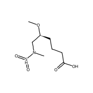 CO[C@@H](CCCC(=O)O)CN(C)[SH](=O)=O